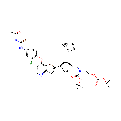 CC(=O)NC(=S)Nc1ccc(Oc2ccnc3cc(-c4ccc(CN(CCOC(=O)OC(C)(C)C)C(=O)OC(C)(C)C)cc4)sc23)c(F)c1.c1cc2cc-2c1